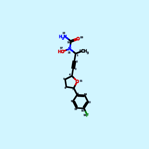 CC(C#CC1CCC(c2ccc(F)cc2)O1)N(O)C(N)=O